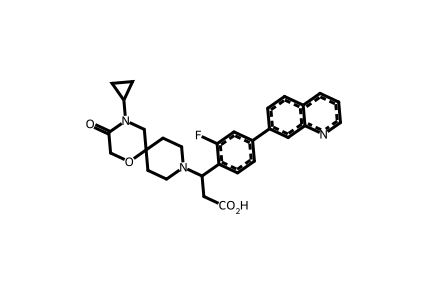 O=C(O)CC(c1ccc(-c2ccc3cccnc3c2)cc1F)N1CCC2(CC1)CN(C1CC1)C(=O)CO2